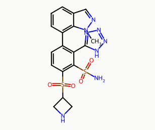 Cn1ncc2cccc(-c3ccc(S(=O)(=O)C4CNC4)c(S(N)(=O)=O)c3-c3nnn[nH]3)c21